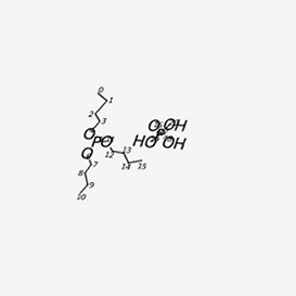 CCCCOP(OCCCC)OCCCC.O=P(O)(O)O